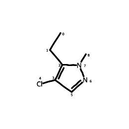 CCc1c(Cl)cnn1C